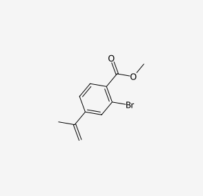 C=C(C)c1ccc(C(=O)OC)c(Br)c1